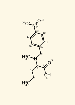 CCCC(C(=O)O)N(C)Cc1ccc([N+](=O)[O-])cc1